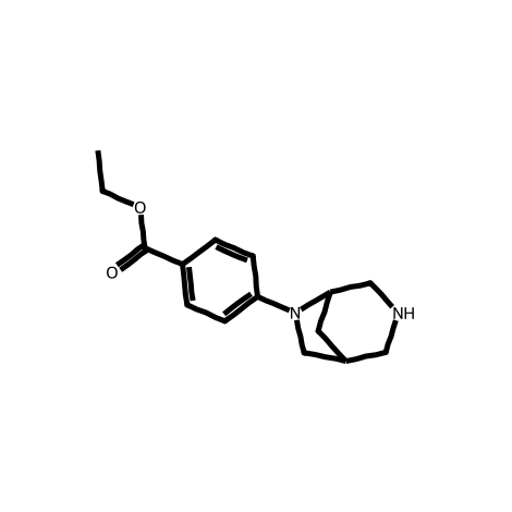 CCOC(=O)c1ccc(N2CC3CNCC2C3)cc1